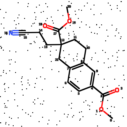 COC(=O)c1ccc2c(c1)CCC(CCC#N)(C(=O)OC)C2